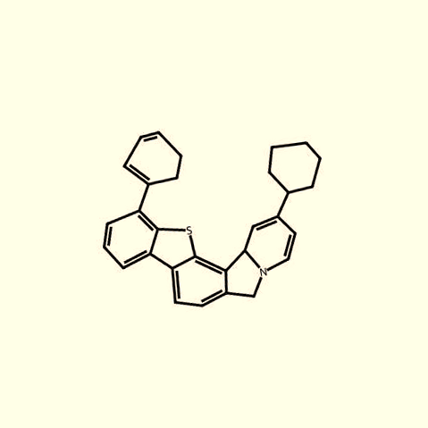 C1=CCCC(c2cccc3c2sc2c4c(ccc23)CN2C=CC(C3CCCCC3)=CC42)=C1